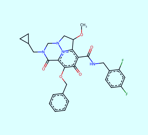 COC1CN2CN(CC3CC3)C(=O)c3c(OCc4ccccc4)c(=O)c(C(=O)NCc4ccc(F)cc4F)c1n32